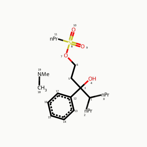 CCCC(CCC)C(O)(CCOS(=O)(=O)CCC)c1ccccc1.CNC